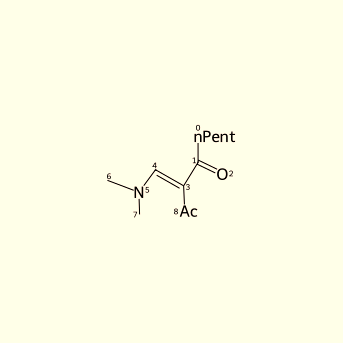 CCCCCC(=O)C(=CN(C)C)C(C)=O